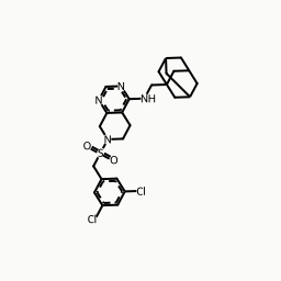 O=S(=O)(Cc1cc(Cl)cc(Cl)c1)N1CCc2c(ncnc2NCC23CC4CC(CC(C4)C2)C3)C1